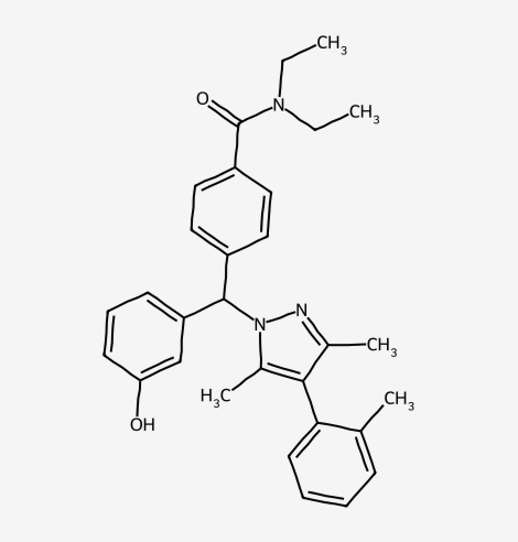 CCN(CC)C(=O)c1ccc(C(c2cccc(O)c2)n2nc(C)c(-c3ccccc3C)c2C)cc1